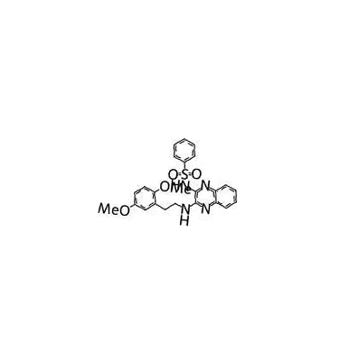 COc1ccc(OC)c(CCNc2nc3ccccc3nc2NS(=O)(=O)c2ccccc2)c1